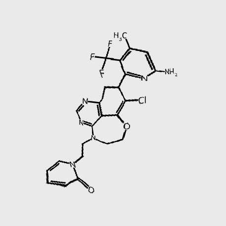 Cc1cc(N)nc(C2Cc3ncnc4c3C(=C2Cl)OCCN4CCn2ccccc2=O)c1C(F)(F)F